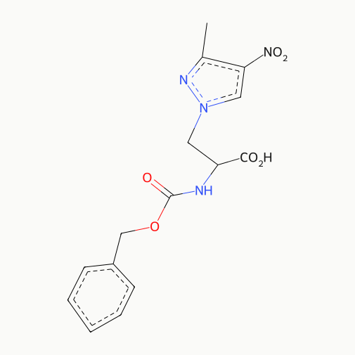 Cc1nn(CC(NC(=O)OCc2ccccc2)C(=O)O)cc1[N+](=O)[O-]